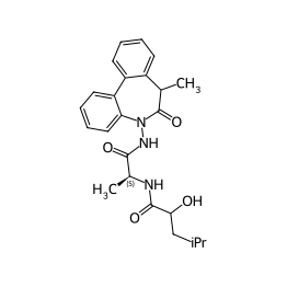 CC(C)CC(O)C(=O)N[C@@H](C)C(=O)NN1C(=O)C(C)c2ccccc2-c2ccccc21